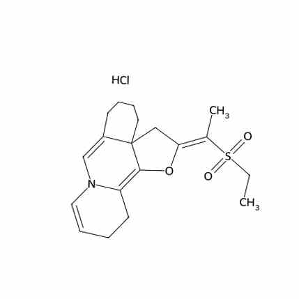 CCS(=O)(=O)/C(C)=C1/CC23CCCCC2=CN2C=CCCC2=C3O1.Cl